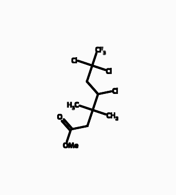 COC(=O)CC(C)(C)C(Cl)CC(Cl)(Cl)C(F)(F)F